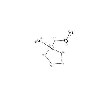 CCC[N+]1(COCC)CCCC1